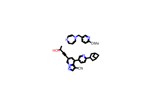 CC(O)C#Cc1cc(-c2ccc(C3CC4CC(C4)C3)nc2)c2c(C#N)cnn2c1.COc1ccc(CN2C=CC=NC=C2)cn1